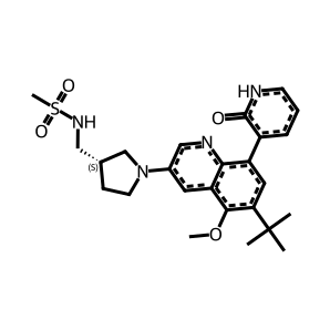 COc1c(C(C)(C)C)cc(-c2ccc[nH]c2=O)c2ncc(N3CC[C@H](CNS(C)(=O)=O)C3)cc12